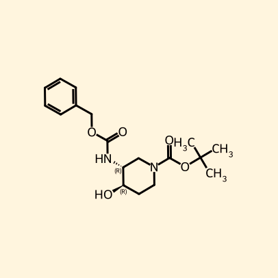 CC(C)(C)OC(=O)N1CC[C@@H](O)[C@H](NC(=O)OCc2ccccc2)C1